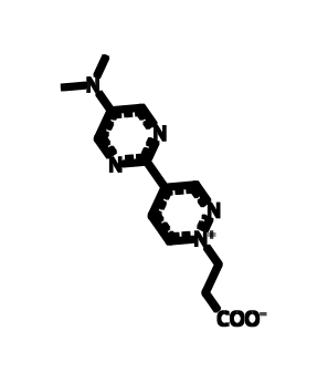 CN(C)c1cnc(-c2cc[n+](CCC(=O)[O-])nc2)nc1